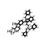 CCN1CCC2c3cc(-c4c(CCN(Cc5ccccc5)Cc5ccccc5)c5ccccc5n4Cc4ccccc4)ccc3N(CC)C2C1CO